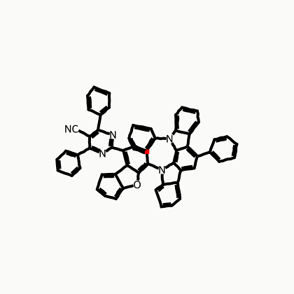 N#Cc1c(-c2ccccc2)nc(-c2ccc(-n3c4ccccc4c4cc(-c5ccccc5)c5c6ccccc6n(-c6ccccc6)c5c43)c3oc4ccccc4c23)nc1-c1ccccc1